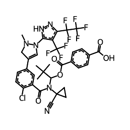 CN1CC(c2ccc(Cl)c(C(=O)N(C(OC(=O)c3ccc(C(=O)O)cc3)C(C)(C)C)C3(C#N)CC3)c2)=CN1c1[nH]nc(C(F)(F)C(F)(F)F)c1C(F)(F)F